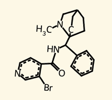 CN1CC2CCC1(C(NC(=O)c1ccncc1Br)c1ccccc1)CC2